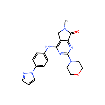 CC(C)N1Cc2c(Nc3ccc(-n4cccn4)cc3)nc(N3CCOCC3)nc2C1=O